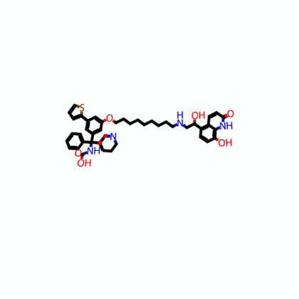 O=C(O)NC(c1ccccc1)(c1cc(OCCCCCCCCCNCC(O)c2ccc(O)c3[nH]c(=O)ccc23)cc(-c2cccs2)c1)C1CN2CCC1CC2